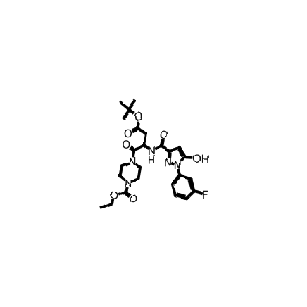 CCOC(=O)N1CCN(C(=O)C(CC(=O)OC(C)(C)C)NC(=O)c2cc(O)n(-c3cccc(F)c3)n2)CC1